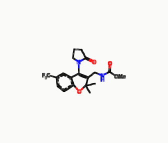 COC(=O)NCC1=C(N2CCCC2=O)c2cc(C(F)(F)F)ccc2OC1(C)C